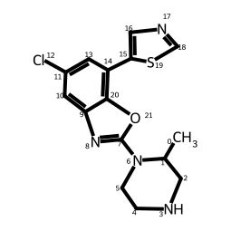 CC1CNCCN1c1nc2cc(Cl)cc(-c3cncs3)c2o1